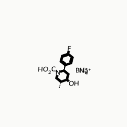 C[C@@H]1CN(C(=O)O)[C@@H](c2ccc(F)cc2)CC1O.[BH4-].[Na+]